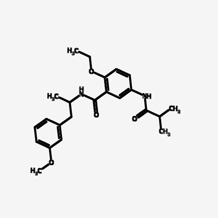 CCOc1ccc(NC(=O)C(C)C)cc1C(=O)NC(C)Cc1cccc(OC)c1